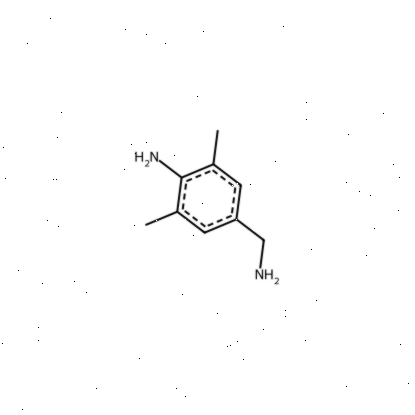 Cc1cc(CN)cc(C)c1N